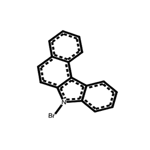 Brn1c2ccccc2c2c3ccccc3ccc21